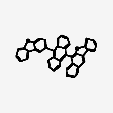 c1ccc2c(-c3c4ccccc4c(-c4ccc5oc6ccccc6c5c4)c4ccccc34)c3oc4ccccc4c3cc2c1